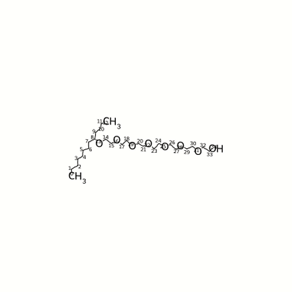 CCCCCCCCC(CCCC)OCCOCCOCCOCCOCCOCCOCCO